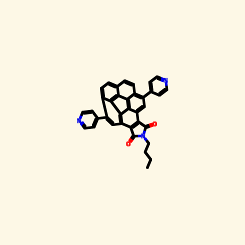 CCCCn1c(=O)c2c3cc(-c4ccncc4)c4ccc5ccc6c(-c7ccncc7)cc(c2c1=O)c1c6c5c4c31